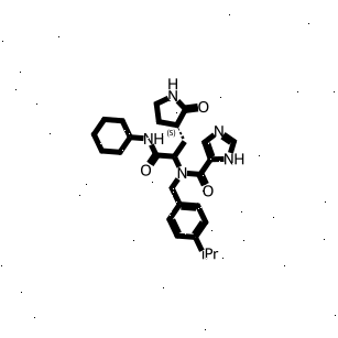 CC(C)c1ccc(CN(C(=O)c2cnc[nH]2)C(C[C@@H]2CCNC2=O)C(=O)NC2CCCCC2)cc1